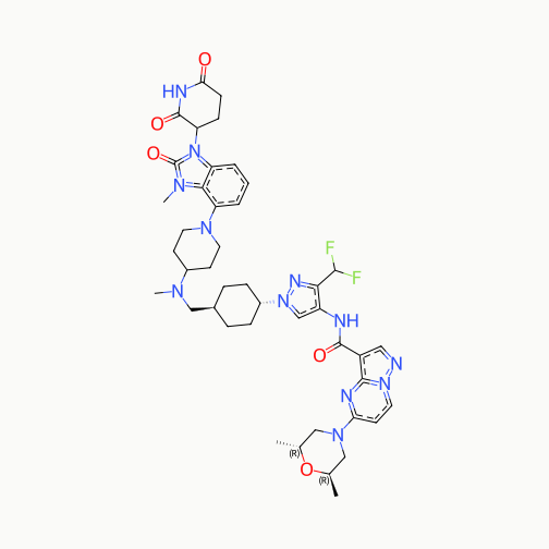 C[C@@H]1CN(c2ccn3ncc(C(=O)Nc4cn([C@H]5CC[C@H](CN(C)C6CCN(c7cccc8c7n(C)c(=O)n8C7CCC(=O)NC7=O)CC6)CC5)nc4C(F)F)c3n2)C[C@@H](C)O1